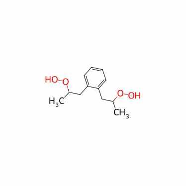 CC(Cc1ccccc1CC(C)OO)OO